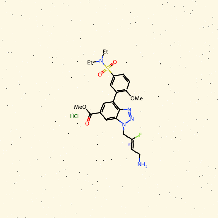 CCN(CC)S(=O)(=O)c1ccc(OC)c(-c2cc(C(=O)OC)cc3c2nnn3C/C(F)=C/CN)c1.Cl